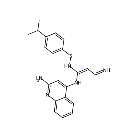 CC(C)c1ccc(SN/C(=C/C=N)Nc2cc(N)nc3ccccc23)cc1